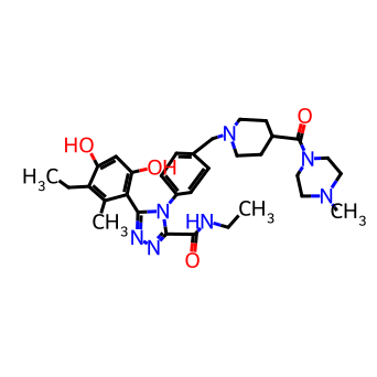 CCNC(=O)c1nnc(-c2c(O)cc(O)c(CC)c2C)n1-c1ccc(CN2CCC(C(=O)N3CCN(C)CC3)CC2)cc1